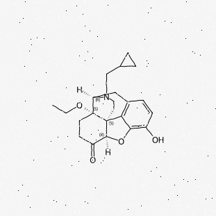 CCO[C@@]12CCC(=O)[C@@H]3Oc4c(O)ccc5c4[C@@]31CCN(CC1CC1)[C@@H]2C5